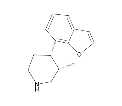 C[C@@H]1CNCC[C@@H]1c1cccc2ccoc12